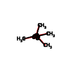 CCCCCCCCCCCCCCCCCC(=O)Oc1ccc(C(OC(=O)CCCCCCCCCCCCCCCCC)(c2ccccc2)c2ccccc2)c(OC(=O)CCCCCCCCCCCCCCCCC)c1OC(=O)CCCCCCCCCCCCCCCCC